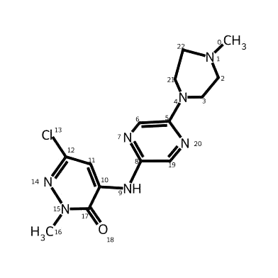 CN1CCN(c2cnc(Nc3cc(Cl)nn(C)c3=O)cn2)CC1